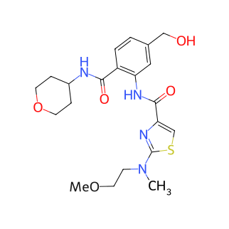 COCCN(C)c1nc(C(=O)Nc2cc(CO)ccc2C(=O)NC2CCOCC2)cs1